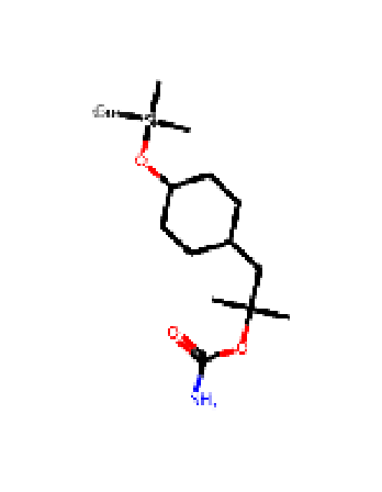 CC(C)(CC1CCC(O[Si](C)(C)C(C)(C)C)CC1)OC(N)=O